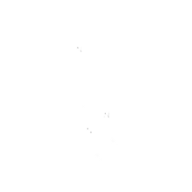 c1ccc2c(c1)CN=C(SCCCCN1CCCC1)N2